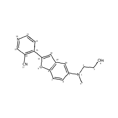 CN(CCO)c1ccc2oc(-c3ccncc3C#N)cc2c1